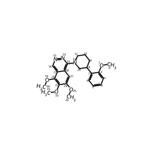 COc1ccccc1C1CCCN(c2nncc3c(OC)c(OC)c(OC)cc23)C1